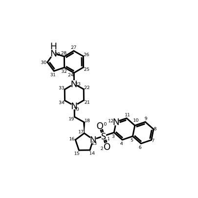 O=S(=O)(c1cc2ccccc2cn1)N1CCC[C@H]1CCN1CCN(c2cccc3[nH]ccc23)CC1